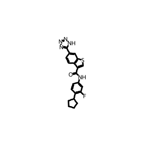 O=C(Nc1ccc(C2CCCC2)c(F)c1)c1csc2cc(-c3nnn[nH]3)ccc12